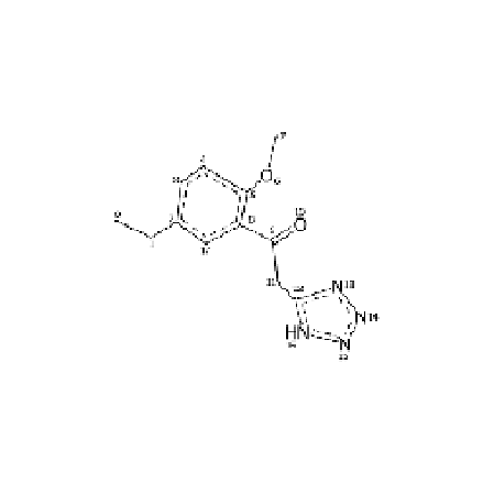 CCc1ccc(OC)c(C(=O)Cc2nnn[nH]2)c1